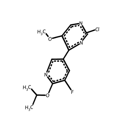 COc1cnc(Cl)nc1-c1cnc(OC(C)C)c(F)c1